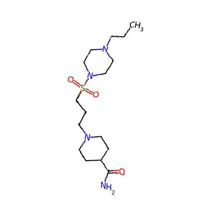 CCCN1CCN(S(=O)(=O)CCCN2CCC(C(N)=O)CC2)CC1